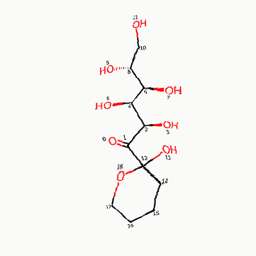 O=C([C@H](O)[C@@H](O)[C@H](O)[C@H](O)CO)C1(O)CCCCO1